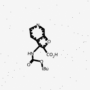 CC(C)(C)OC(=O)Nc1c(C(=O)O)oc2cnccc12